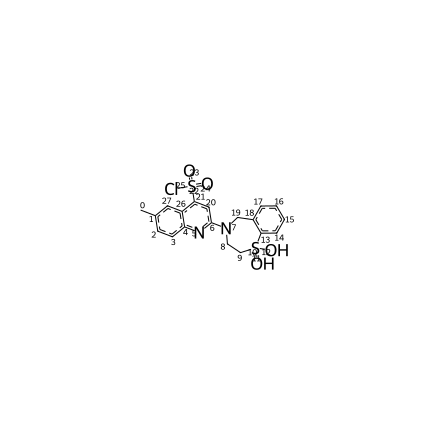 Cc1ccc2nc(N3CCS(O)(O)c4ccccc4C3)cc(S(=O)(=O)Cl)c2c1